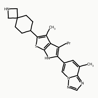 Cc1c(C2CCC3(CC2)CNC3)sc2[nH]c(-c3cc(C)c4ncnn4c3)c(C(C)C)c12